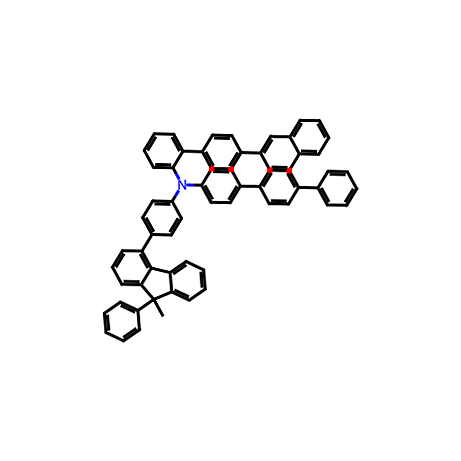 CC1(c2ccccc2)c2ccccc2-c2c(-c3ccc(N(c4ccc(-c5ccc(-c6ccccc6)cc5)cc4)c4ccccc4-c4ccc(-c5ccc6ccccc6c5)cc4)cc3)cccc21